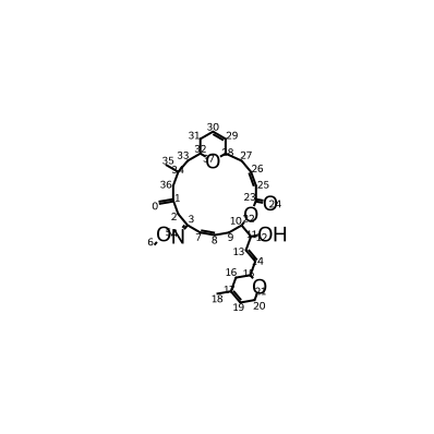 C=C1CC(=NOC)C=CCC(C(O)C=CC2CC(C)=CCO2)OC(=O)C=CCC2C=CCC(CC(C)C1)O2